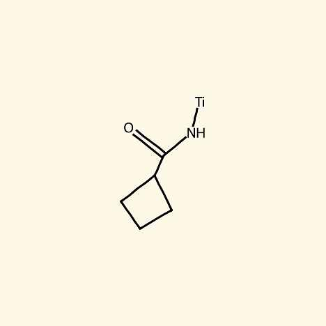 O=C([NH][Ti])C1CCC1